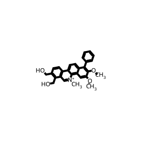 COc1cc2c(ccc3c4ccc(CO)c(CO)c4c[n+](C)c23)c(-c2ccccc2)c1OC